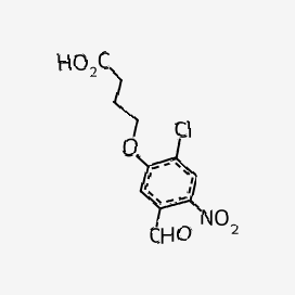 O=Cc1cc(OCCCC(=O)O)c(Cl)cc1[N+](=O)[O-]